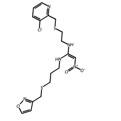 O=[N+]([O-])C=C(NCCCSCc1ccon1)NCCSCc1ncccc1Cl